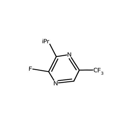 CC(C)c1nc(C(F)(F)F)cnc1F